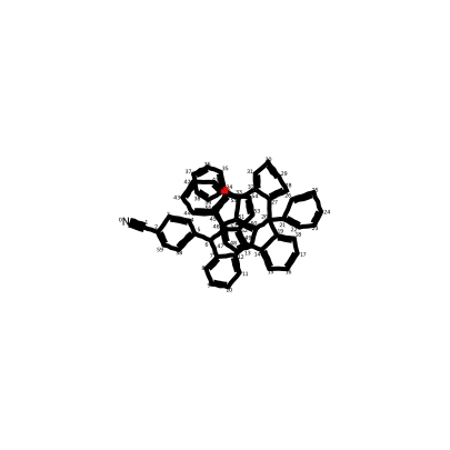 N#Cc1ccc(C2c3ccccc3C(c3ccccc3C3(c4ccccc4)c4ccccc4C4(c5ccccc5)c5ccccc5-c5cccc3c54)=C3C=CC=CC32)cc1